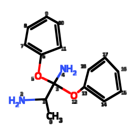 CC(N)C(N)(Oc1ccccc1)Oc1ccccc1